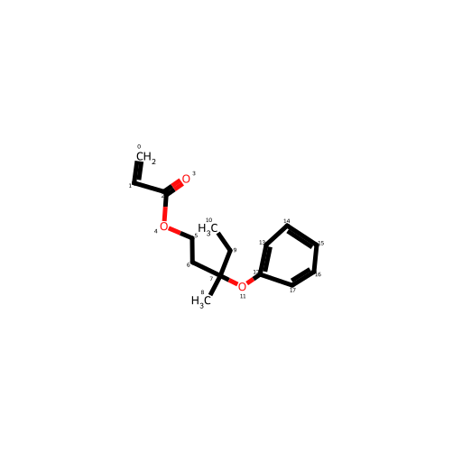 C=CC(=O)OCCC(C)(CC)Oc1ccccc1